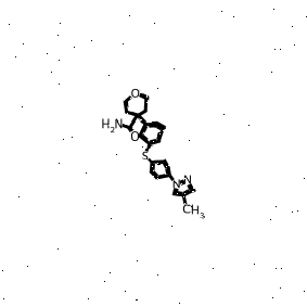 Cc1cnn(-c2ccc(Sc3cccc(C4(C(N)=O)CCOCC4)c3)cc2)c1